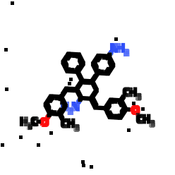 COc1ccc(C=C2CC(c3ccc(N)cc3)=C(c3ccccc3)C(=Cc3ccc(OC)c(C)c3)C2N)cc1C